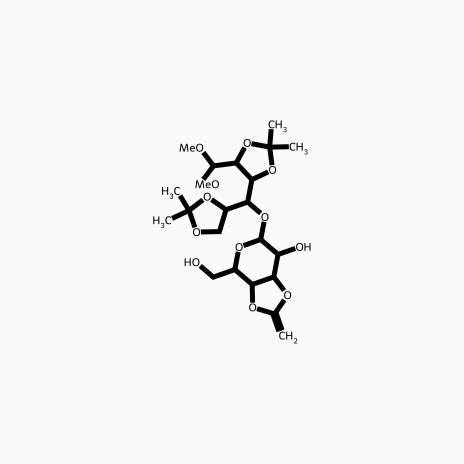 C=C1OC2C(CO)OC(OC(C3COC(C)(C)O3)C3OC(C)(C)OC3C(OC)OC)C(O)C2O1